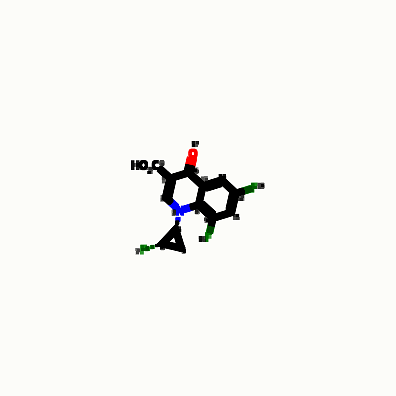 O=C(O)c1cn([C@@H]2C[C@@H]2F)c2c(F)cc(F)cc2c1=O